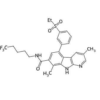 CCS(=O)(=O)c1cccc(-c2cc(C(=O)NCCCCC(F)(F)F)c(C)c3[nH]c4ncc(C)cc4c23)c1